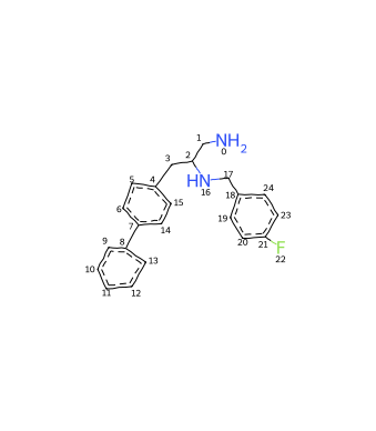 NCC(Cc1ccc(-c2ccccc2)cc1)NCc1ccc(F)cc1